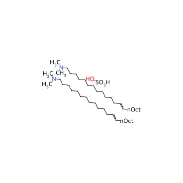 CCCCCCCCC=CCCCCCCCCCCCCN(C)C.CCCCCCCCC=CCCCCCCCCCCCCN(C)C.O=S(=O)(O)O